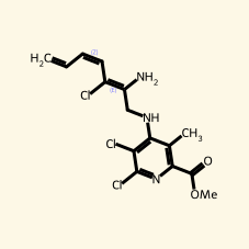 C=C/C=C\C(Cl)=C(/N)CNc1c(C)c(C(=O)OC)nc(Cl)c1Cl